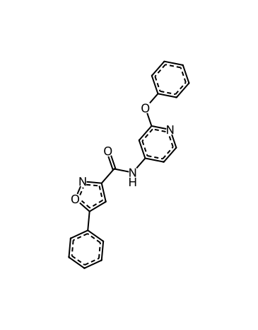 O=C(Nc1ccnc(Oc2ccccc2)c1)c1cc(-c2ccccc2)on1